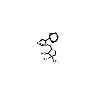 CC1(C)CC[C@@H]([C@H]2c3ccccc3-c3cncn32)C1O